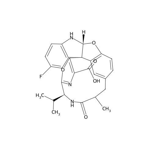 CC1Cc2ccc3c(c2)[C@@]2(c4cc(F)ccc4N[C@@H]2O3)c2oc(nc2C(=O)O)[C@H](C(C)C)NC1=O